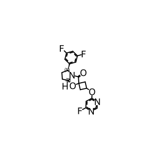 O=C1N2[C@@H](CC[C@H]2c2cc(F)cc(F)c2)OC12CC(Oc1cc(F)ncn1)C2